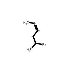 C/N=C\CC(C)F